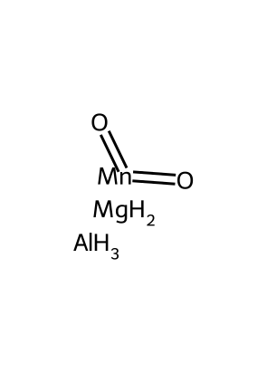 [AlH3].[MgH2].[O]=[Mn]=[O]